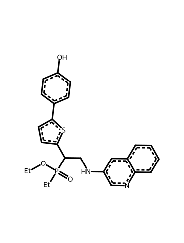 CCOP(=O)(CC)C(CNc1cnc2ccccc2c1)c1ccc(-c2ccc(O)cc2)s1